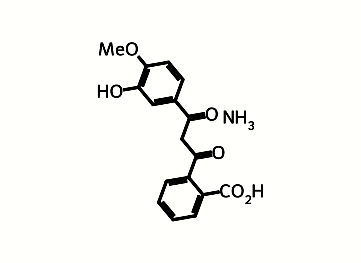 COc1ccc(C(=O)CC(=O)c2ccccc2C(=O)O)cc1O.N